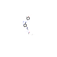 COCC(=O)NC/C=C/c1ccc2ncnc(Nc3ccc(O)c(C)c3)c2c1